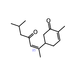 CC1=CCC(/C(C)=C\C(=O)CC(C)C)CC1=O